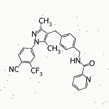 Cc1nn(-c2ccc(C#N)c(C(F)(F)F)c2)c(C)c1Cc1ccc(CNC(=O)c2ccccn2)cc1